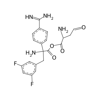 N=C(N)c1ccc(C(N)(Cc2cc(F)cc(F)c2)C(=O)OC(=O)C(N)CC=O)cc1